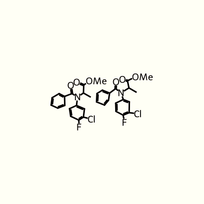 COC(=O)C(C)N(C(=O)c1ccccc1)c1ccc(F)c(Cl)c1.COC(=O)C(C)N(C(=O)c1ccccc1)c1ccc(F)c(Cl)c1